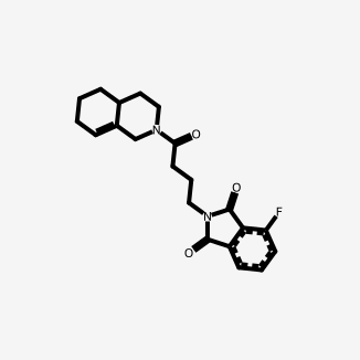 O=C(CCCN1C(=O)c2cccc(F)c2C1=O)N1CCC2CCCC=C2C1